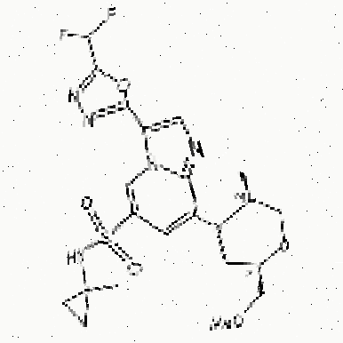 COC[C@H]1CN(c2cc(S(=O)(=O)NC3(C)CC3)cn3c(-c4nnc(C(F)F)o4)cnc23)[C@@H](C)CO1